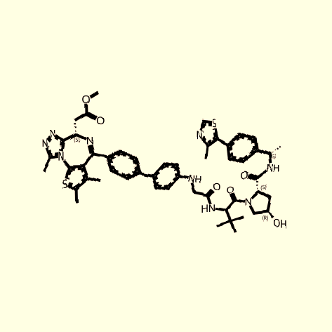 COC(=O)C[C@@H]1N=C(c2ccc(-c3ccc(NCC(=O)NC(C(=O)N4C[C@H](O)C[C@H]4C(=O)N[C@@H](C)c4ccc(-c5scnc5C)cc4)C(C)(C)C)cc3)cc2)c2c(sc(C)c2C)-n2c(C)nnc21